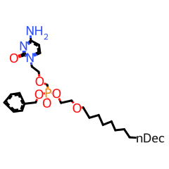 CCCCCCCCCCCCCCCCCCOCCOP(=O)(COCCn1ccc(N)nc1=O)OCc1ccccc1